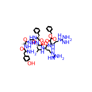 CC(C)C[C@H](NC(=O)[C@H](Cc1ccccc1)NC(=O)CNC(=O)[C@@H](C)NC(=O)[C@@H](N)Cc1ccc(O)cc1)C(=O)N[C@@H](CCCNC(=N)N)C(=O)N[C@@H](CCCNC(=N)N)C(=O)C(=O)OCc1ccccc1